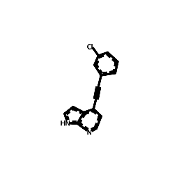 Clc1cccc(C#Cc2ccnc3[nH]ccc23)c1